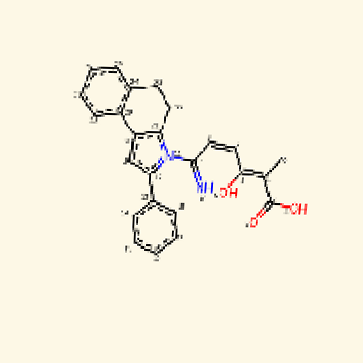 C/C(C(=O)O)=C(O)\C=C/C(=N)n1c(-c2ccccc2)cc2c1CCc1ccccc1-2